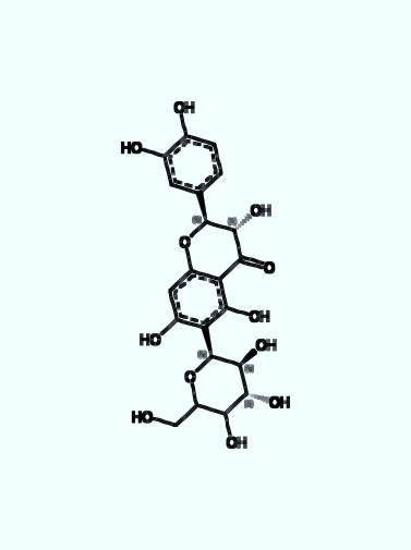 O=C1c2c(cc(O)c([C@@H]3OC(CO)C(O)[C@@H](O)[C@@H]3O)c2O)O[C@@H](c2ccc(O)c(O)c2)[C@@H]1O